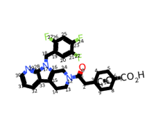 O=C(CC12CCC(C(=O)O)(CC1)CC2)N1CCc2c(n(Cc3cc(F)c(F)cc3F)c3ncccc23)C1